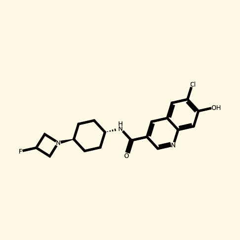 O=C(N[C@H]1CC[C@H](N2CC(F)C2)CC1)c1cnc2cc(O)c(Cl)cc2c1